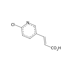 O=C(O)/C=C/c1ccc(Cl)nc1